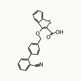 N#Cc1ccccc1-c1ccc(COc2c(C(=O)O)sc3ccccc23)cc1